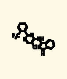 FC(F)(F)c1ccccc1-c1ncc(Cl)c(Nc2n[nH]c3ccccc23)n1